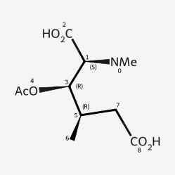 CN[C@H](C(=O)O)[C@H](OC(C)=O)[C@H](C)CC(=O)O